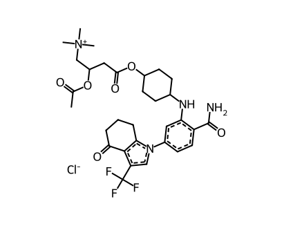 CC(=O)OC(CC(=O)OC1CCC(Nc2cc(-n3cc(C(F)(F)F)c4c3CCCC4=O)ccc2C(N)=O)CC1)C[N+](C)(C)C.[Cl-]